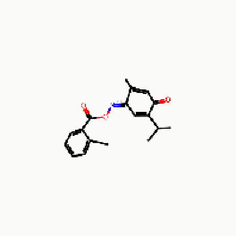 CC1=CC(=O)C(C(C)C)=C/C1=N\OC(=O)c1ccccc1C